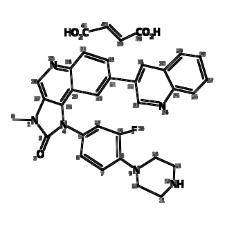 Cn1c(=O)n(-c2ccc(N3CCNCC3)c(F)c2)c2c3cc(-c4cnc5ccccc5c4)ccc3ncc21.O=C(O)C=CC(=O)O